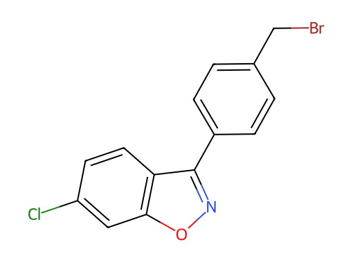 Clc1ccc2c(-c3ccc(CBr)cc3)noc2c1